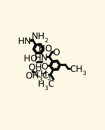 CC(=O)O.CCCc1cc(C(C)CC)c(OCCO)c(C(Nc2ccc(C(=N)N)cc2)C(=O)O)c1